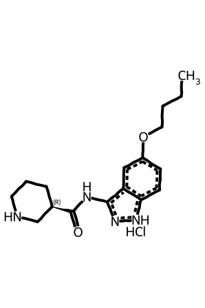 CCCCOc1ccc2[nH]nc(NC(=O)[C@@H]3CCCNC3)c2c1.Cl